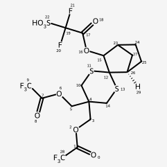 O=C(OCC1(COC(=O)C(F)(F)F)CSC2(SC1)C(OC(=O)C(F)(F)S(=O)(=O)O)C1CC[C@@H]2C1)C(F)(F)F